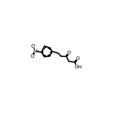 O=C(O)CC(=O)CCc1ccc([N+](=O)[O-])cc1